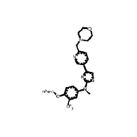 CCCCCOc1ccc(N(C)c2nc(-c3ccc(CN4CCOCC4)nc3)cs2)cc1C(F)(F)F